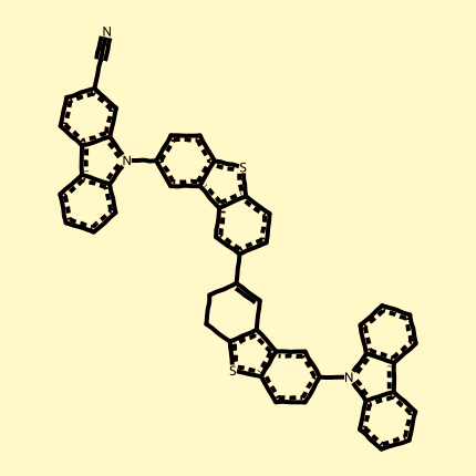 N#Cc1ccc2c3ccccc3n(-c3ccc4sc5ccc(C6=Cc7c(sc8ccc(-n9c%10ccccc%10c%10ccccc%109)cc78)CC6)cc5c4c3)c2c1